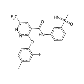 CS(=N)(=O)c1cccc(NC(=O)c2cc(C(F)(F)F)nnc2Oc2ccc(F)cc2F)c1